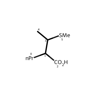 CCCC(C(=O)O)C(C)SC